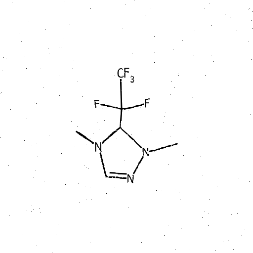 CN1C=NN(C)C1C(F)(F)C(F)(F)F